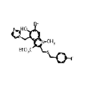 CCOC(=O)c1c(CSCc2ccc(F)cc2)n(C)c2cc(Br)c(O)c(Cn3ccnc3)c12